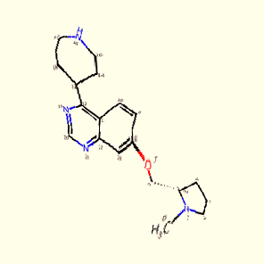 CN1CCC[C@H]1COc1ccc2c(C3CCNCC3)ncnc2c1